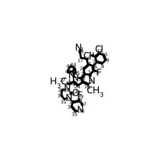 Cc1nc2c(F)c(-c3cccc(Cl)c3Cl)c(CCC#N)cc2c2c1cc(C(C)N1CCCN(c3ccncc3F)C1=O)n2C1C2CNC1C2